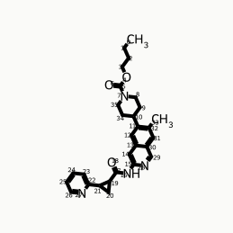 CCCCOC(=O)N1CCC(c2cc3cc(NC(=O)C4CC4c4ccccn4)ncc3cc2C)CC1